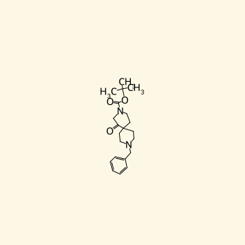 CC(C)(C)OC(=O)N1CCC2(CCN(Cc3ccccc3)CC2)C(=O)C1